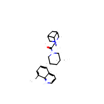 C[C@@H]1C[C@H](c2ccc(C#N)c3ncccc23)CN(C(=O)CC2C3CC2CN(C)C3)C1